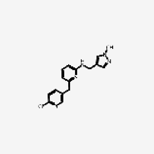 Cn1cc(CNc2cccc(Cc3ccc(Cl)nc3)n2)cn1